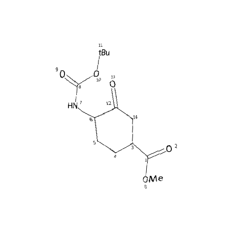 COC(=O)C1CCC(NC(=O)OC(C)(C)C)C(=O)C1